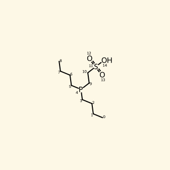 CCCCP(CCCC)CCS(=O)(=O)O